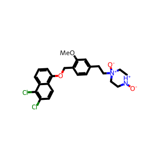 COc1cc(CC[N+]2([O-])CC[NH+]([O-])CC2)ccc1COc1cccc2c(Cl)c(Cl)ccc12